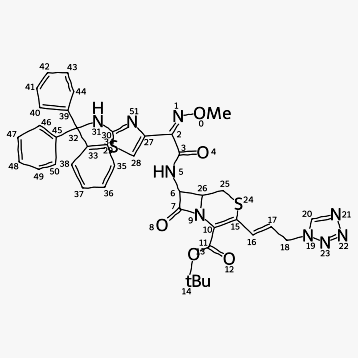 CO/N=C(\C(=O)NC1C(=O)N2C(C(=O)OC(C)(C)C)=C(/C=C/Cn3cnnn3)SCC12)c1csc(NC(c2ccccc2)(c2ccccc2)c2ccccc2)n1